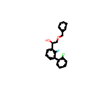 OC(COCc1ccccc1)c1cccc(-c2ccccc2Cl)c1F